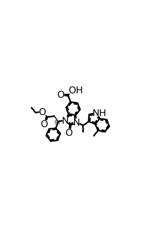 CCOC(=O)C[C@H](c1ccccc1)n1c(=O)n(C(C)c2c[nH]c3cccc(C)c23)c2ccc(C(=O)O)cc21